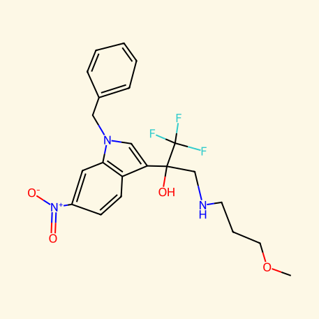 COCCCNCC(O)(c1cn(Cc2ccccc2)c2cc([N+](=O)[O-])ccc12)C(F)(F)F